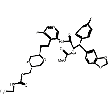 COC(=O)N[C@H](C(=O)Nc1cncc(F)c1CC[C@@H]1CN[C@H](COC(=O)NCC(F)(F)F)CO1)[C@@H](c1ccc(Cl)cc1)c1ccc2c(c1)OCO2